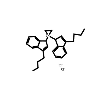 CCCCC1=C[CH]([Zr+2]2([CH]3C=C(CCCC)c4ccccc43)[CH2][CH2]2)c2ccccc21.[Cl-].[Cl-]